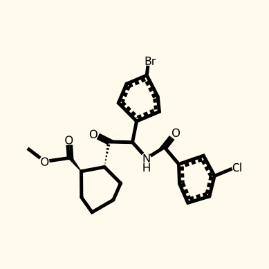 COC(=O)[C@@H]1CCCC[C@H]1C(=O)C(NC(=O)c1cccc(Cl)c1)c1ccc(Br)cc1